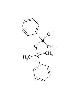 C[Si](C)(O[Si](C)(O)c1ccccc1)c1ccccc1